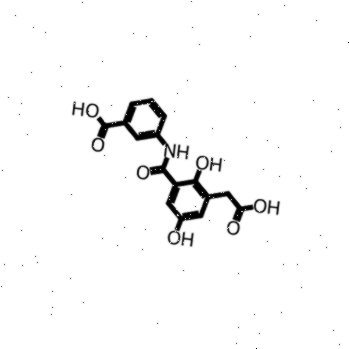 O=C(O)Cc1cc(O)cc(C(=O)Nc2cccc(C(=O)O)c2)c1O